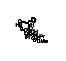 COC(=O)C(NC(=O)NC(C(=O)N[C@H]1CCCCNC(=O)/C=C/[C@H](Cc2ccccc2)NC1=O)C(C)C)C(C)C